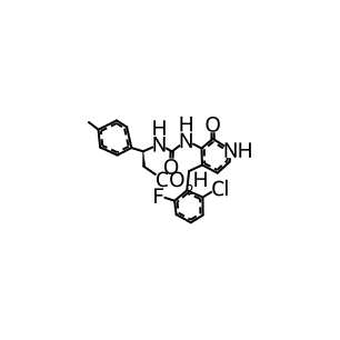 Cc1ccc([C@H](CC(=O)O)NC(=O)Nc2c(Cc3c(F)cccc3Cl)cc[nH]c2=O)cc1